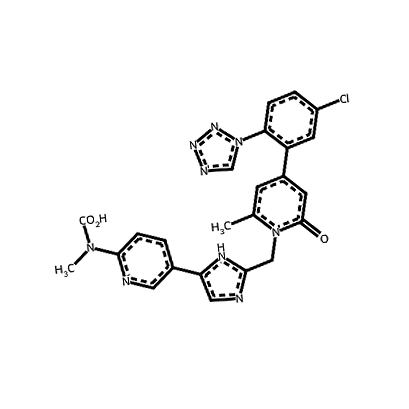 Cc1cc(-c2cc(Cl)ccc2-n2cnnn2)cc(=O)n1Cc1ncc(-c2ccc(N(C)C(=O)O)nc2)[nH]1